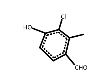 Cc1c(C=O)ccc(O)c1Cl